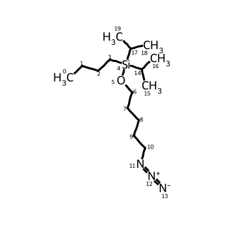 CCCC[Si](OCCCCCN=[N+]=[N-])(C(C)C)C(C)C